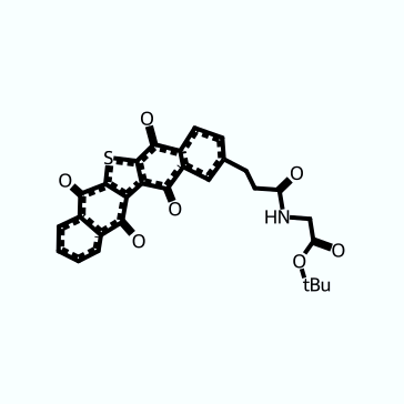 CC(C)(C)OC(=O)CNC(=O)CCc1ccc2c(=O)c3sc4c(=O)c5ccccc5c(=O)c4c3c(=O)c2c1